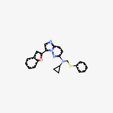 c1ccc(SCN(c2ccc3ncc(-c4cc5ccccc5o4)n3n2)C2CC2)cc1